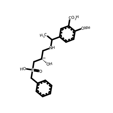 COc1ccc(C(C)NC[C@H](O)CP(=O)(O)Cc2ccccc2)cc1C(=O)O